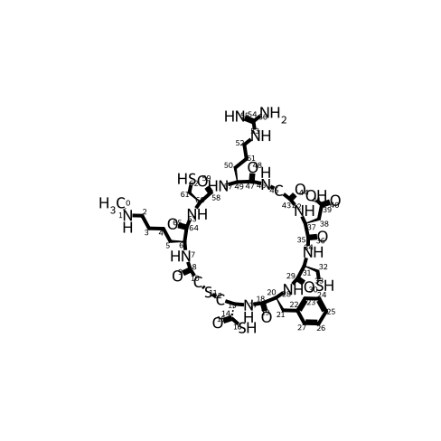 CNCCCC[C@@H]1NC(=O)CSC[C@@H](C(=O)S)NC(=O)[C@H](Cc2ccccc2)NC(=O)[C@H](CS)NC(=O)[C@H](CC(=O)O)NC(=O)CNC(=O)[C@H](CCCNC(=N)N)NC(=O)[C@H](CS)NC1=O